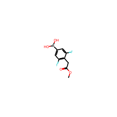 COC(=O)Cc1c(F)cc(B(O)O)cc1F